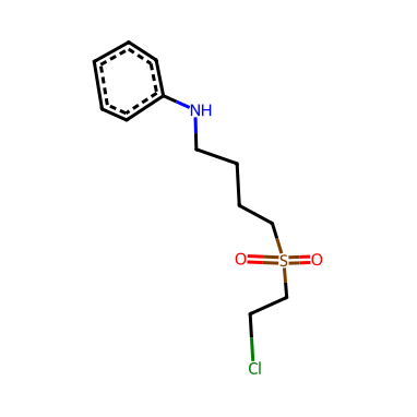 O=S(=O)(CCCl)CCCCNc1ccccc1